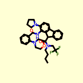 CCCCN(CC(F)(F)F)C(=O)C1c2ccccc2-c2ccc(N3CCCC3)c(NC(=O)c3ccccc3N3CCOCC3)c21